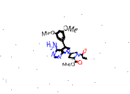 C=CC(=O)N1C[C@@H](n2cc(-c3cc(OC)cc(OC)c3)c3c(N)ncnc32)C[C@H]1C(=O)OC